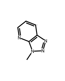 Cn1nnc2[c]ccnc21